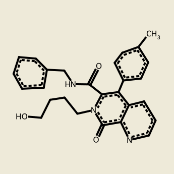 Cc1ccc(-c2c(C(=O)NCc3ccccc3)n(CCCCO)c(=O)c3ncccc23)cc1